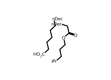 CCCCCCCCCCCC(=O)OCCCC(C)C.CCCCCCCCCCCCCCCC(=O)O